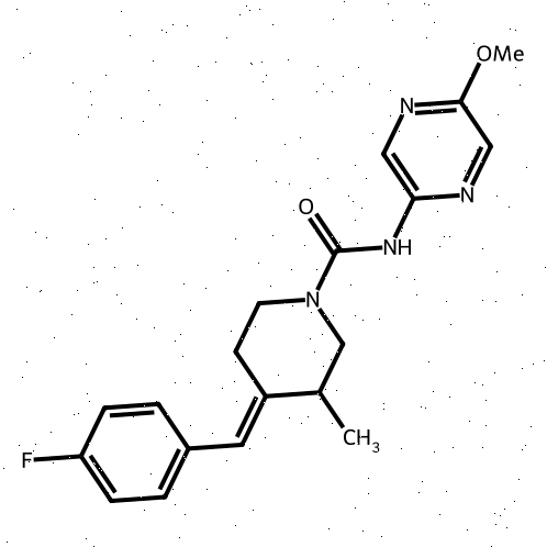 COc1cnc(NC(=O)N2CCC(=Cc3ccc(F)cc3)C(C)C2)cn1